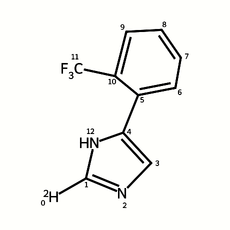 [2H]c1ncc(-c2ccccc2C(F)(F)F)[nH]1